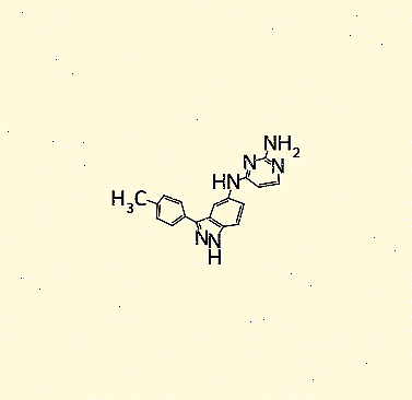 Cc1ccc(-c2n[nH]c3ccc(Nc4ccnc(N)n4)cc23)cc1